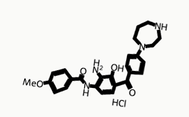 COc1ccc(C(=O)Nc2ccc(C(=O)c3ccc(N4CCCNCC4)cc3)c(O)c2N)cc1.Cl